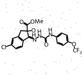 COC(=O)C1(O)Cc2cc(Cl)ccc2/C1=N/NC(=O)Nc1ccc(OC(F)(F)F)cc1